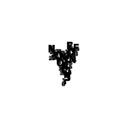 CCSN1CCN(C(=O)c2cnc3cc(F)c(F)cc3c2N2CCC(C)(C#N)CC2)CC1